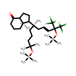 CC(C)(CCC[C@](C)(C/C=C/C(O[Si](C)(C)C)(C(F)(F)F)C(F)(F)F)C1CCC2C(=O)CCC[C@@]21C)O[Si](C)(C)C